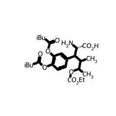 CCOC(=O)OC(C)C(C)C(c1ccc(OC(=O)C(C)CC)c(OC(=O)C(C)CC)c1)[C@H](N)C(=O)O